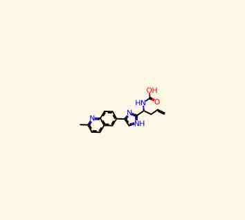 C=CCC(NC(=O)O)c1nc(-c2ccc3nc(C)ccc3c2)c[nH]1